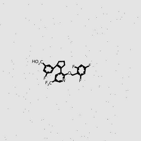 O=C(O)c1cc(F)cc(C2=C(c3cc(C(F)(F)F)cnc3OCc3c(F)cc(F)cc3F)CCC2)c1